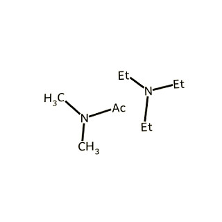 CC(=O)N(C)C.CCN(CC)CC